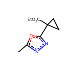 CCOC(=O)C1(c2nnc(C)o2)CC1